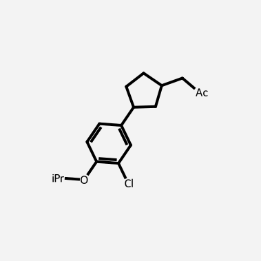 CC(=O)CC1CCC(c2ccc(OC(C)C)c(Cl)c2)C1